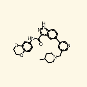 CC1CCN(Cc2cncc(-c3ccc4[nH]nc(C(=O)Nc5ccc6c(c5)OCCO6)c4c3)c2)CC1